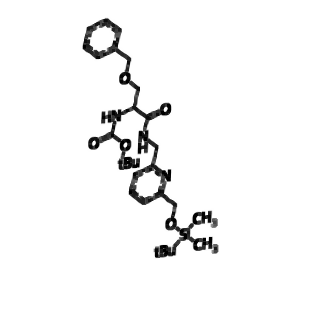 CC(C)(C)OC(=O)NC(COCc1ccccc1)C(=O)NCc1cccc(CO[Si](C)(C)C(C)(C)C)n1